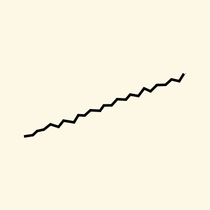 [CH2]CCC[CH]CCCCCCCCCCCCCCCCCCCC